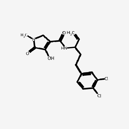 C=CC(CCc1ccc(Cl)c(Cl)c1)NC(=O)C1=C(O)C(=O)N(C)C1